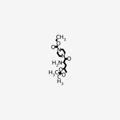 CCOC(=O)N1CCN(C(=O)[C@@H](N)CC2COC(C)(C)O2)CC1